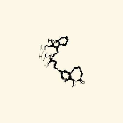 Cc1[nH]c2ccccc2c1CN(C)C(=O)C=Cc1cnc2c(c1)CCCC(=O)N2